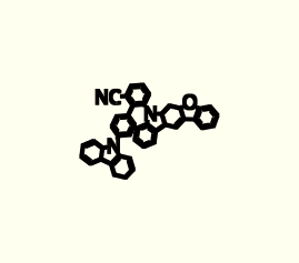 N#Cc1cccc(N2c3ccccc3C3C=C4c5ccccc5OC4CC32)c1-c1ccc(N2C3=C(CCC=C3)C3C=CC=CC32)cc1